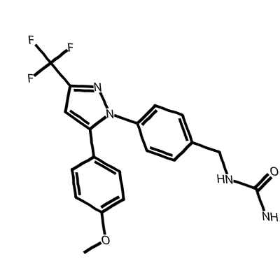 COc1ccc(-c2cc(C(F)(F)F)nn2-c2ccc(CNC(N)=O)cc2)cc1